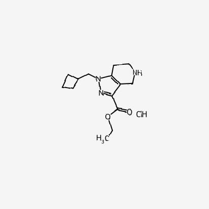 CCOC(=O)c1nn(CC2CCC2)c2c1CNCC2.Cl